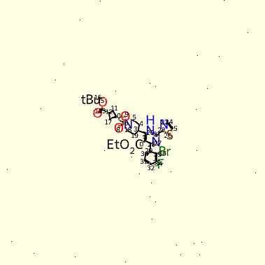 CCOC(=O)C1=C(C2CCN(S(=O)(=O)[C@H]3C[C@H](C(=O)OC(C)(C)C)C3)CC2)NC(c2nccs2)=NC1c1cccc(F)c1Br